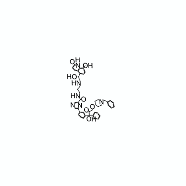 O=C(NCCCNC[C@H](O)c1ccc(O)c2[nH]c(=O)ccc12)c1cncc(-c2cccc([C@](O)(C(=O)COC3CCN(Cc4ccccc4)CC3)c3ccccc3)c2)n1